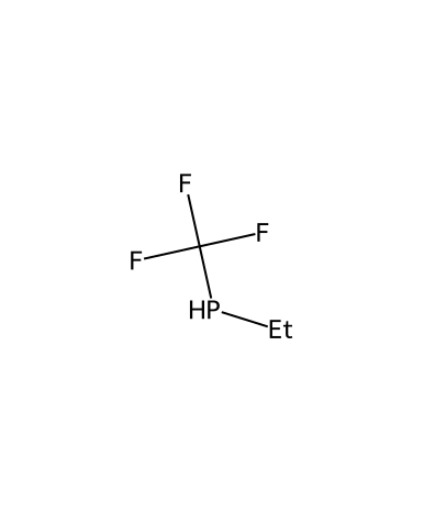 CCPC(F)(F)F